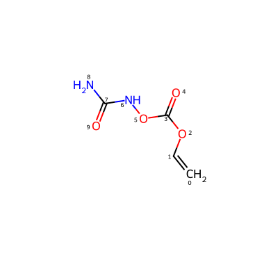 C=COC(=O)ONC(N)=O